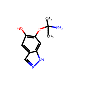 CC(C)(N)Oc1cc2[nH]ncc2cc1O